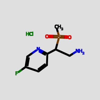 CS(=O)(=O)C(CN)c1ccc(F)cn1.Cl